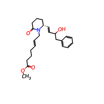 COC(=O)CCC/C=C/CN1C(=O)CCC[C@@H]1/C=C/C(O)Cc1ccccc1